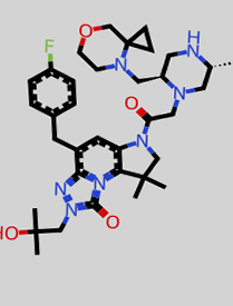 C[C@@H]1CN(CC(=O)N2CC(C)(C)c3c2cc(Cc2ccc(F)cc2)c2nn(CC(C)(C)O)c(=O)n32)[C@@H](CN2CCOCC23CC3)CN1